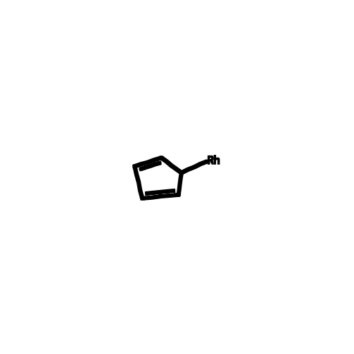 [Rh][CH]1C=CC=C1